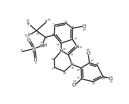 CS(=O)(=O)NC(c1ccc(Cl)c2nc3n(c12)CCCN3c1c(Cl)cc(Cl)cc1Cl)C(F)(F)F